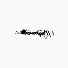 CC(=O)OCC(COC(C)=O)(COC(C)=O)C(=O)OCCCSCCCOC(=O)CN(CCN(CCN(CC(=O)O)CC(=O)O)CC(=O)O)CC(=O)O